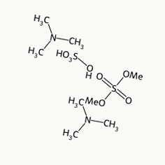 CN(C)C.CN(C)C.COS(=O)(=O)OC.O=S(=O)(O)O